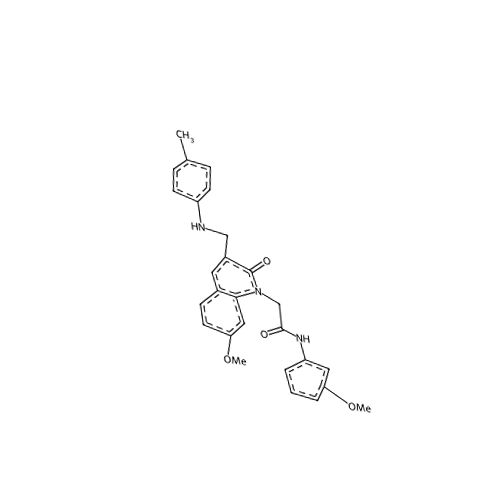 COc1cccc(NC(=O)Cn2c(=O)c(CNc3ccc(C)cc3)cc3ccc(OC)cc32)c1